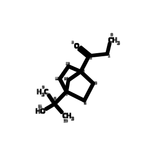 CCC(=O)C12CCC(C(C)(C)O)(CC1)C2